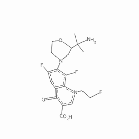 CC(C)(N)C1CN(c2c(F)cc3c(=O)c(C(=O)O)cn(CCF)c3c2F)CCO1